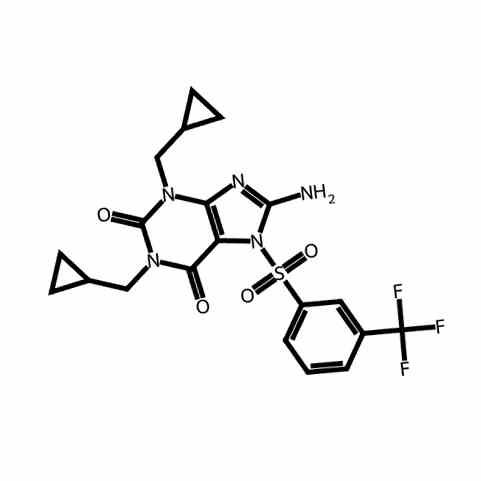 Nc1nc2c(c(=O)n(CC3CC3)c(=O)n2CC2CC2)n1S(=O)(=O)c1cccc(C(F)(F)F)c1